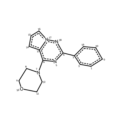 c1ccc(-c2nc(N3CCOCC3)c3cccn3n2)cc1